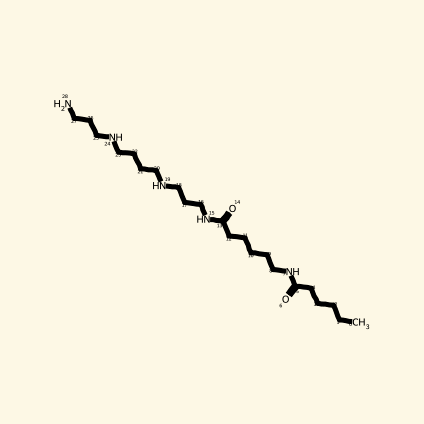 CCCCCC(=O)NCCCCCC(=O)NCCCNCCCCNCCCN